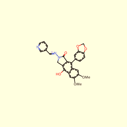 COc1cc2c(O)c3c(c(-c4ccc5c(c4)OCO5)c2cc1OC)C(=O)N(/N=C/c1cccnc1)C3